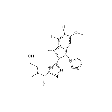 COc1cc2c(-n3ccnc3)c(-c3nnc(C(=O)N(C)CCO)[nH]3)n(C)c2c(F)c1Cl